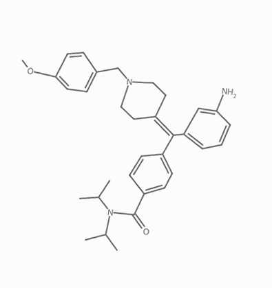 COc1ccc(CN2CCC(=C(c3ccc(C(=O)N(C(C)C)C(C)C)cc3)c3cccc(N)c3)CC2)cc1